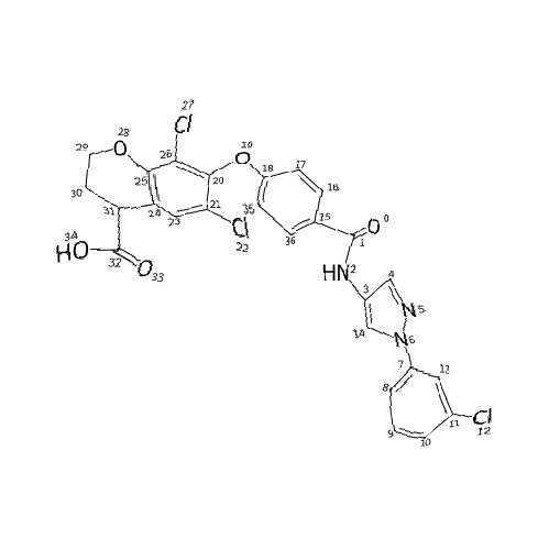 O=C(Nc1cnn(-c2cccc(Cl)c2)c1)c1ccc(Oc2c(Cl)cc3c(c2Cl)OCCC3C(=O)O)cc1